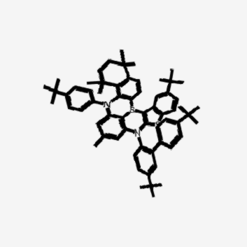 Cc1cc2c3c(c1)N(c1ccc(C(C)(C)C)cc1)c1c(ccc4c1C(C)(C)CCC4(C)C)B3c1c(sc3ccc(C(C)(C)C)cc13)N2c1ccc(C(C)(C)C)cc1-c1ccc(C(C)(C)C)cc1